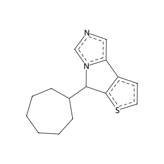 c1cc2c(s1)C(C1CCCCCC1)n1cncc1-2